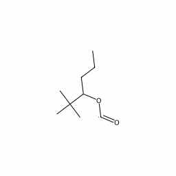 CCCC(O[C]=O)C(C)(C)C